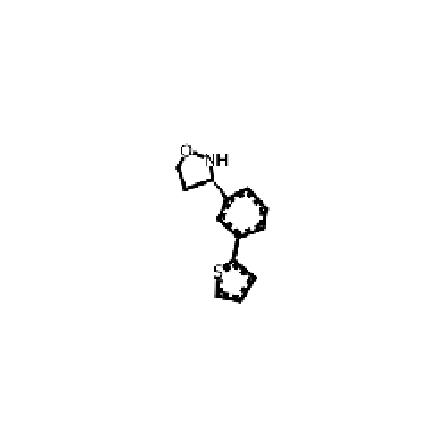 c1cc(-c2cccs2)cc([C@H]2CCON2)c1